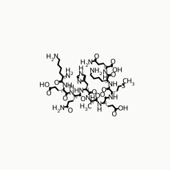 CSCC[C@H](NC(=O)[C@H](CCC(=O)O)NC(=O)[C@H](C)NC(=O)[C@H](Cc1c[nH]cn1)NC(=O)[C@H](CCC(N)=O)NC(=O)[C@H](CCC(=O)O)NC(=O)[C@@H](N)CCCCN)C(=O)N[C@@H](CCCCN)C(=O)N[C@@H](CCC(N)=O)C(=O)O